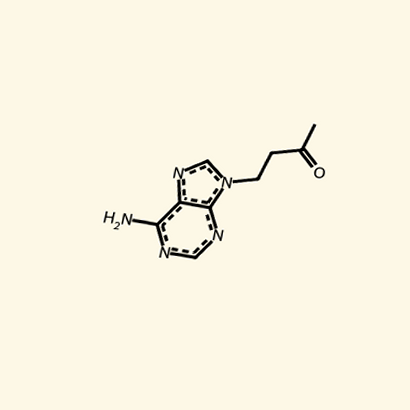 CC(=O)CCn1cnc2c(N)ncnc21